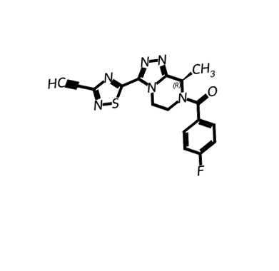 C#Cc1nsc(-c2nnc3n2CCN(C(=O)c2ccc(F)cc2)[C@@H]3C)n1